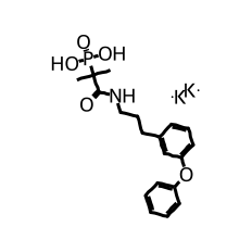 CC(C)(C(=O)NCCCc1cccc(Oc2ccccc2)c1)P(=O)(O)O.[K].[K]